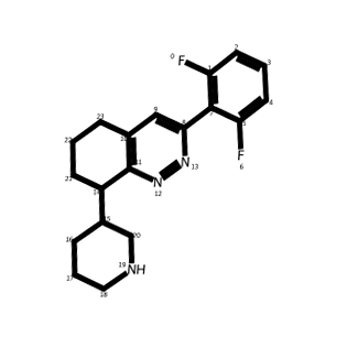 Fc1cccc(F)c1-c1cc2c(nn1)C(C1CCCNC1)CCC2